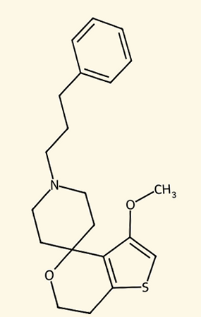 COc1csc2c1C1(CCN(CCCc3ccccc3)CC1)OCC2